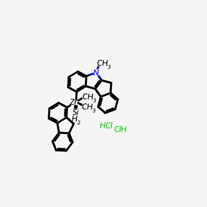 Cl.Cl.Cn1c2c(c3[c]([Zr]([CH3])([CH3])(=[SiH2])[c]4cccc5c4Cc4ccccc4-5)cccc31)-c1ccccc1C2